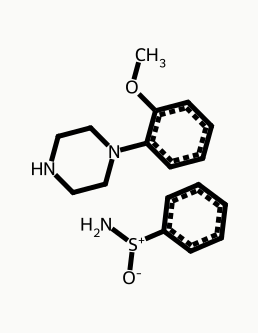 COc1ccccc1N1CCNCC1.N[S+]([O-])c1ccccc1